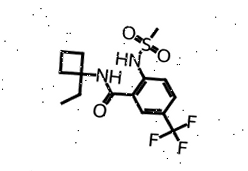 CCC1(NC(=O)c2cc(C(F)(F)F)ccc2NS(C)(=O)=O)CCC1